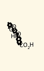 Cc1ccc(S(=O)(=O)N2CCC(C(=O)NC3=CC4C=CC(C(=O)O)=CC4C=C3)CC2)c(C)c1